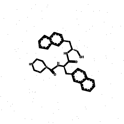 O=C(N[C@@H](CO)Cc1ccc2ccccc2c1)[C@@H](Cc1ccc2ccccc2c1)NC(=O)N1CCNCC1